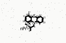 CCC[N+](C)(C)C(C)CN1c2ccccc2Sc2ccccc21.[I-]